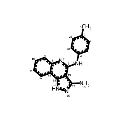 Cc1ccc(Nc2nc3ccccc3c3[nH]nc(N)c23)cc1